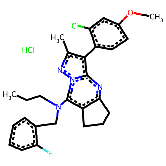 CCCN(Cc1ccccc1F)c1c2c(nc3c(-c4ccc(OC)cc4Cl)c(C)nn13)CCC2.Cl